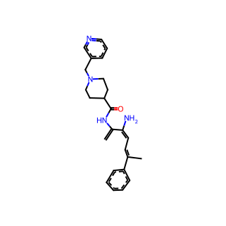 C=C(NC(=O)C1CCN(Cc2cccnc2)CC1)/C(N)=C\C=C(/C)c1ccccc1